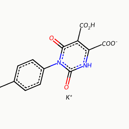 Cc1ccc(-n2c(=O)[nH]c(C(=O)[O-])c(C(=O)O)c2=O)cc1.[K+]